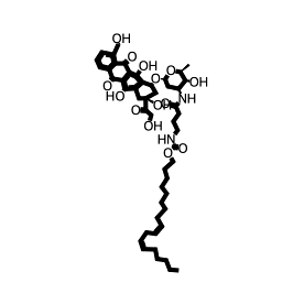 CCCCC/C=C\C/C=C\CCCCCCCCOC(=O)NCCCC(=O)N[C@H]1C[C@H](O[C@H]2C[C@](O)(C(=O)CO)Cc3c(O)c4c(c(O)c32)C(=O)c2c(CO)cccc2C4=O)O[C@@H](C)[C@H]1O